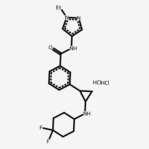 CCn1cc(NC(=O)c2cccc(C3CC3NC3CCC(F)(F)CC3)c2)cn1.Cl.Cl